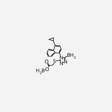 BOC(=O)CSc1nnc(B)n1-c1ccc(C2CC2)c2ccccc12